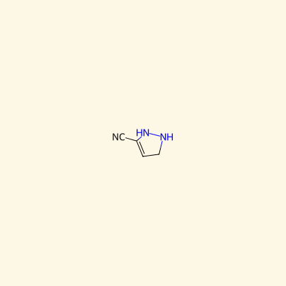 N#CC1=CCNN1